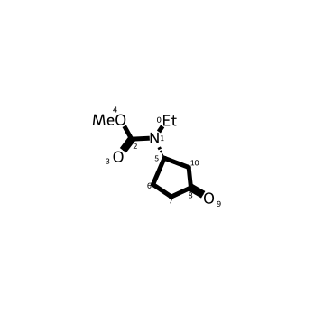 CCN(C(=O)OC)[C@H]1CCC(=O)C1